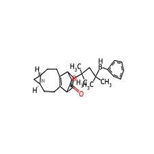 CC(C)(Bc1ccccc1)CC(C)(C)C1=CC2C(=O)C(=O)C1C1=C2CC[C@H]2C[C@H]2CC1